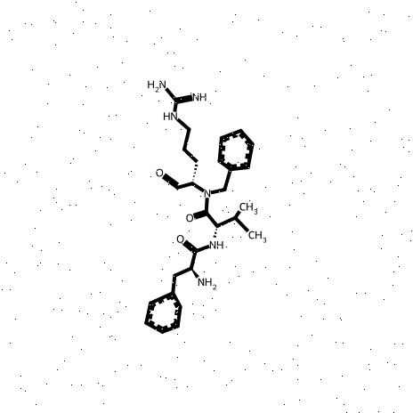 CC(C)[C@H](NC(=O)[C@@H](N)Cc1ccccc1)C(=O)N(Cc1ccccc1)[C@H]([C]=O)CCCNC(=N)N